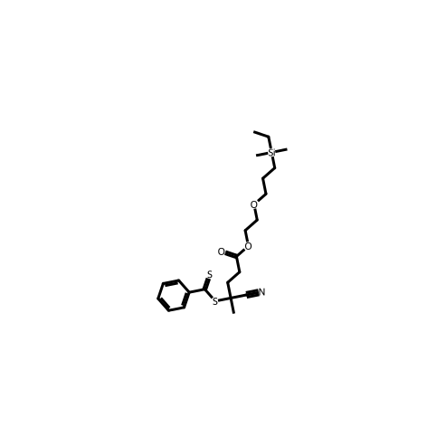 CC[Si](C)(C)CCCOCCOC(=O)CCC(C)(C#N)SC(=S)c1ccccc1